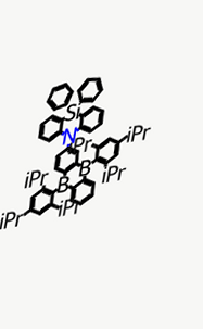 CC(C)c1cc(C(C)C)c(B2c3ccccc3B(c3c(C(C)C)cc(C(C)C)cc3C(C)C)c3cc(N4c5ccccc5[Si](c5ccccc5)(c5ccccc5)c5ccccc54)ccc32)c(C(C)C)c1